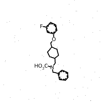 O=C(O)N(Cc1ccccc1)CC1CCC(COc2cccc(F)c2)CC1